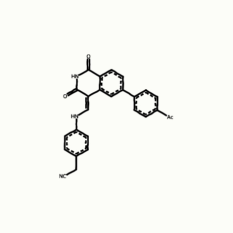 CC(=O)c1ccc(-c2ccc3c(c2)C(=CNc2ccc(CC#N)cc2)C(=O)NC3=O)cc1